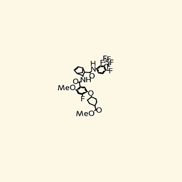 COC(=O)C1CCC(Oc2cc(C(=O)NC3C4C=CC(C4)C3C(=O)Nc3ccc(F)c(S(F)(F)(F)(F)F)c3)c(OC)cc2F)CC1